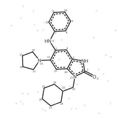 O=c1[nH]c2cc(Nc3ccccc3)c(N3CCCC3)cc2n1CC1CCCCC1